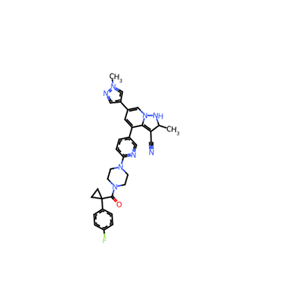 CC1NN2C=C(c3cnn(C)c3)C=C(c3ccc(N4CCN(C(=O)C5(c6ccc(F)cc6)CC5)CC4)nc3)C2=C1C#N